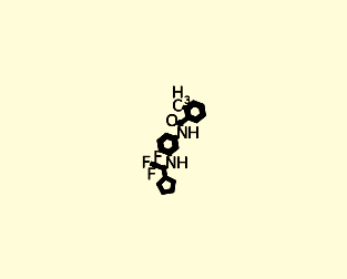 Cc1ccccc1C(=O)Nc1cccc(NC(C2CCCC2)C(F)(F)F)c1